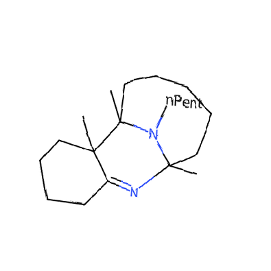 [CH2]CCCCN1C2(C)CCCCCC1(C)C1(C)CCCCC1=N2